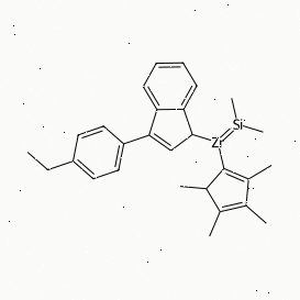 CCc1ccc(C2=C[CH]([Zr]([C]3=C(C)C(C)=C(C)C3C)=[Si](C)C)c3ccccc32)cc1